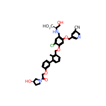 Cc1c(COc2cc(OCc3cncc(C#N)c3)c(CN[C@H](CO)C(=O)O)cc2Cl)cccc1-c1cccc(OCC(=O)N2CC[C@@H](O)C2)c1